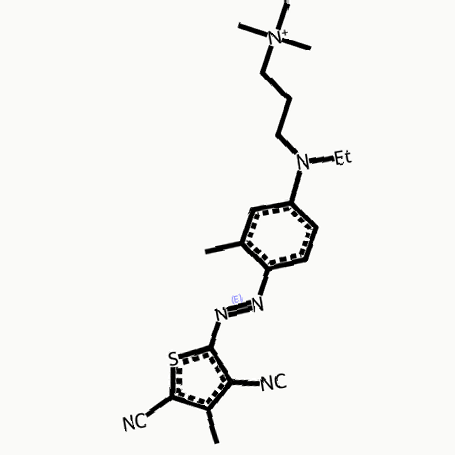 [C-]#[N+]c1c(/N=N/c2ccc(N(CC)CCC[N+](C)(C)C)cc2C)sc(C#N)c1C